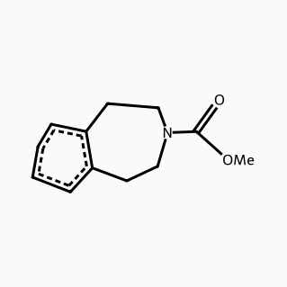 COC(=O)N1CCc2ccccc2CC1